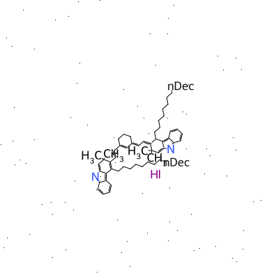 CCCCCCCCCCCCCCCCCCC1=C(C=CC2=CC(=CC=C3C(CCCCCCCCCCCCCCCCCC)C4=c5ccccc5=NC4=CC3(C)C)CCC2)C(C)(C)C=C2N=c3ccccc3=C21.I